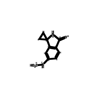 O=C(O)Nc1ccc2c(c1)C1(CC1)NC2=O